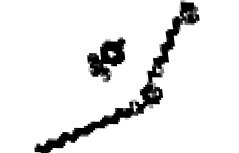 CCCCCCCCCCCCCCOC[C@@H]1CO[C@H](COCCCCCCC[n+]2ccsc2)C1.Cc1ccc(S(=O)(=O)[O-])cc1